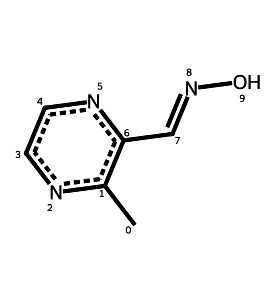 Cc1nccnc1C=NO